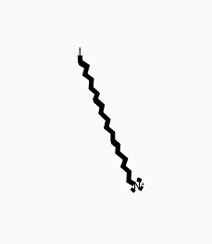 C[N+](C)(C)CCCCCC=CCCCCC=CCCCCC=CI